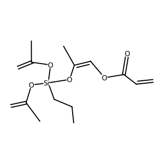 C=CC(=O)OC=C(C)O[Si](CCC)(OC(=C)C)OC(=C)C